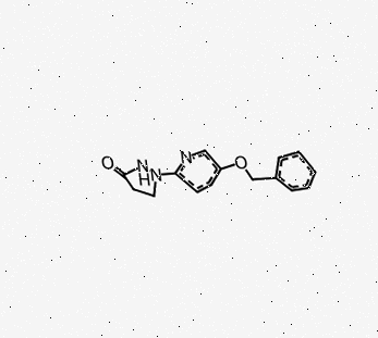 O=C1CCN(c2ccc(OCc3ccccc3)cn2)N1